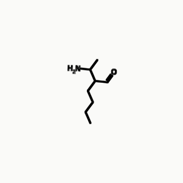 CCCCC(C=O)C(C)N